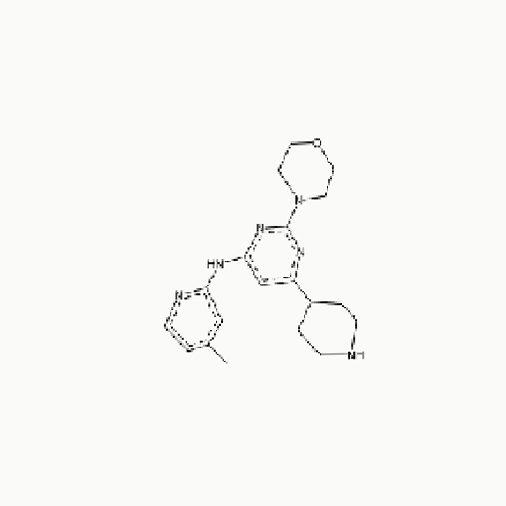 Cc1ccnc(Nc2cc(C3CCNCC3)nc(N3CCOCC3)n2)c1